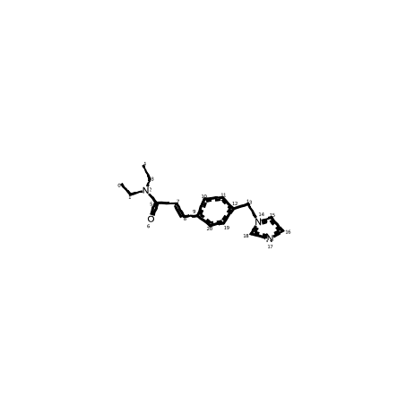 CCN(CC)C(=O)/C=C/c1ccc(Cn2ccnc2)cc1